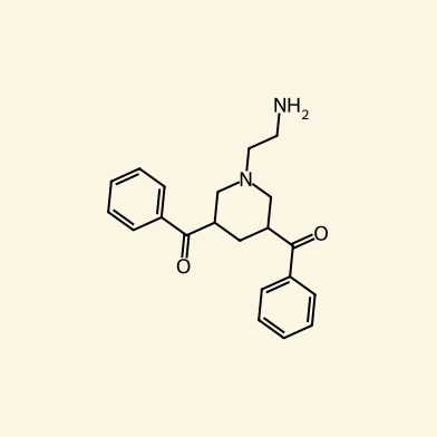 NCCN1CC(C(=O)c2ccccc2)CC(C(=O)c2ccccc2)C1